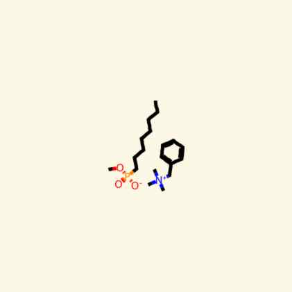 CCCCCCCCP(=O)([O-])OC.C[N+](C)(C)Cc1ccccc1